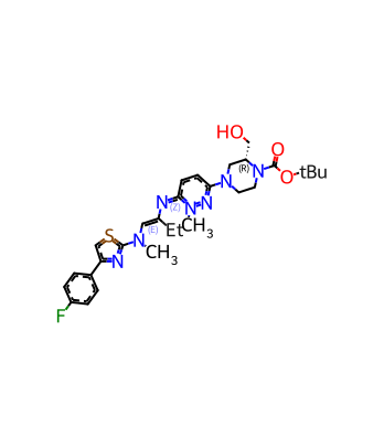 CCC(=C\N(C)c1nc(-c2ccc(F)cc2)cs1)/N=c1/ccc(N2CCN(C(=O)OC(C)(C)C)[C@@H](CO)C2)nn1C